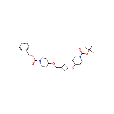 CC(C)(C)OC(=O)N1CCC(OC2CC(COC3CCN(C(=O)OCc4ccccc4)CC3)C2)CC1